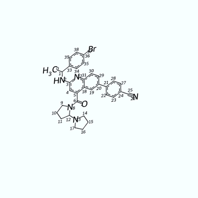 CC(Nc1cc(C(=O)N2CCCC2N2CCCC2)c2cc(-c3ccc(C#N)cc3)ccc2n1)c1ccc(Br)cc1